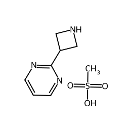 CS(=O)(=O)O.c1cnc(C2CNC2)nc1